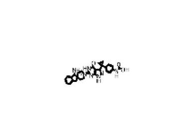 N[C@@H]1c2ccccc2CC12CCN(c1nc3[nH]nc(C4(c5ccc(NC(=O)O)cc5)CC4)c3c(=O)[nH]1)CC2